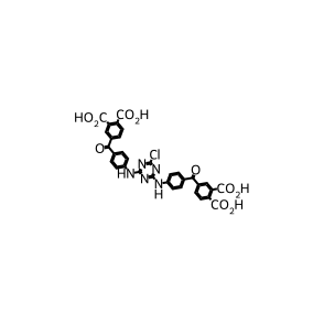 O=C(c1ccc(Nc2nc(Cl)nc(Nc3ccc(C(=O)c4ccc(C(=O)O)c(C(=O)O)c4)cc3)n2)cc1)c1ccc(C(=O)O)c(C(=O)O)c1